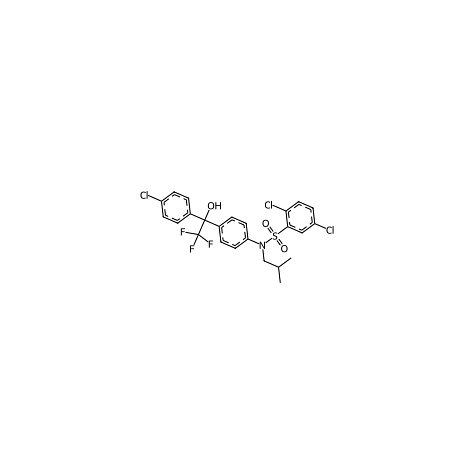 CC(C)CN(c1ccc(C(O)(c2ccc(Cl)cc2)C(F)(F)F)cc1)S(=O)(=O)c1cc(Cl)ccc1Cl